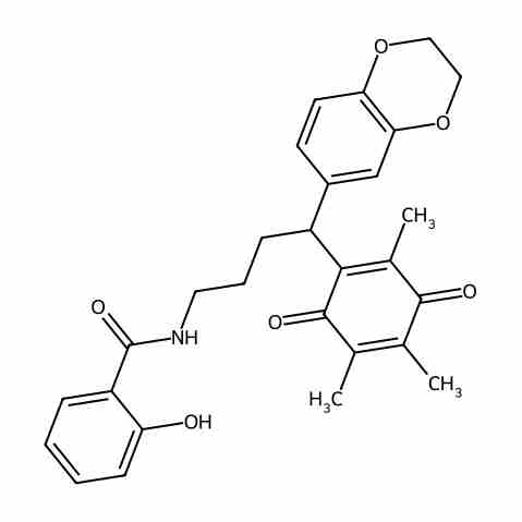 CC1=C(C)C(=O)C(C(CCCNC(=O)c2ccccc2O)c2ccc3c(c2)OCCO3)=C(C)C1=O